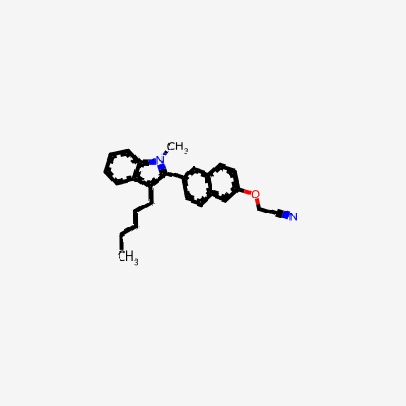 CCCCCc1c(-c2ccc3cc(OCC#N)ccc3c2)n(C)c2ccccc12